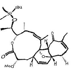 CO[C@H]1C[C@H]2C=C[C@H]3[C@@H]4C=C(C)C(=O)[C@H]3[C@]2(O4)C(C)=C[C@@H](C)[C@@H]([C@@H](C)O[Si](C)(C)C(C)(C)C)OC1=O